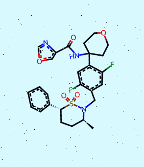 C[C@H]1CC[C@H](c2ccccc2)S(=O)(=O)N1Cc1cc(F)c(C2(NC(=O)c3cocn3)CCOCC2)cc1F